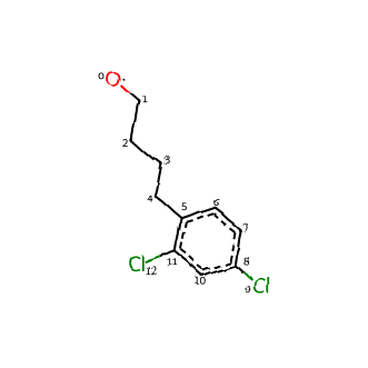 [O]CCCCc1ccc(Cl)cc1Cl